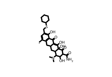 CN(C)C1C(O)C(C(N)=O)C(=O)C2(O)C(O)=C3C(=O)c4c(O)c(CSC5CCCCC5)cc(I)c4CC3CC12